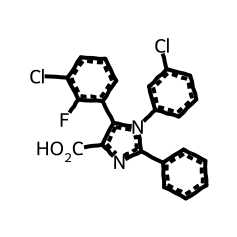 O=C(O)c1nc(-c2ccccc2)n(-c2cccc(Cl)c2)c1-c1cccc(Cl)c1F